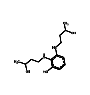 CC(O)CCNc1cccc(O)c1NCCC(C)O